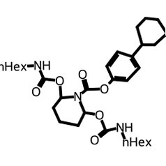 CCCCCCNC(=O)OC1CCCC(OC(=O)NCCCCCC)N1C(=O)Oc1ccc(C2CCCCC2)cc1